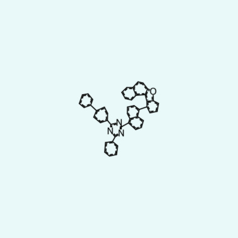 c1ccc(-c2ccc(-c3nc(-c4ccccc4)nc(-c4cccc5c(-c6cccc7oc8ccc9ccccc9c8c67)cccc45)n3)cc2)cc1